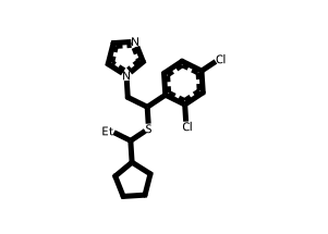 CCC(SC(Cn1ccnc1)c1ccc(Cl)cc1Cl)C1CCCC1